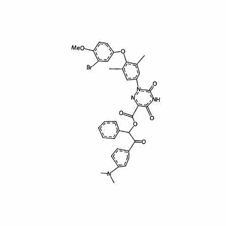 COc1ccc(Oc2c(C)cc(-n3nc(C(=O)OC(C(=O)c4ccc(N(C)C)cc4)c4ccccc4)c(=O)[nH]c3=O)cc2C)cc1Br